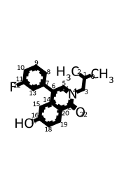 CC(C)Cn1[c]c(-c2cccc(F)c2)c2cc(O)ccc2c1=O